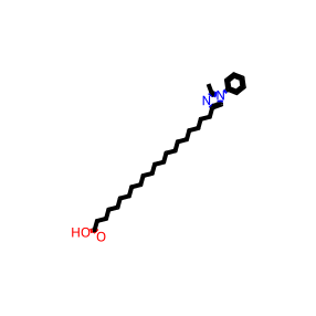 Cc1nc(CCCCCCCCCCCCCCCCCCCCC(=O)O)cn1-c1ccccc1